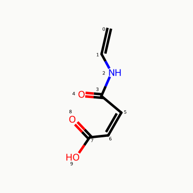 C=CNC(=O)/C=C\C(=O)O